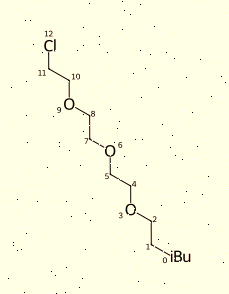 CCC(C)CCOCCOCCOCCCl